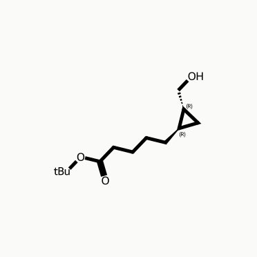 CC(C)(C)OC(=O)CCCC[C@@H]1C[C@H]1CO